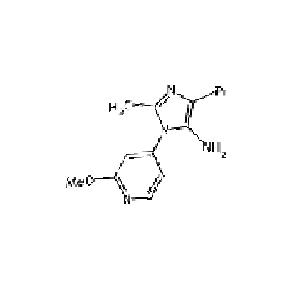 COc1cc(-n2c(C)nc(C(C)C)c2N)ccn1